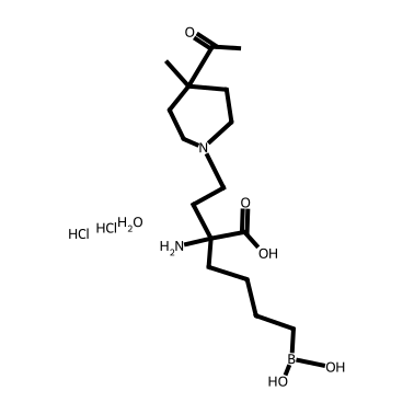 CC(=O)C1(C)CCN(CCC(N)(CCCCB(O)O)C(=O)O)CC1.Cl.Cl.O